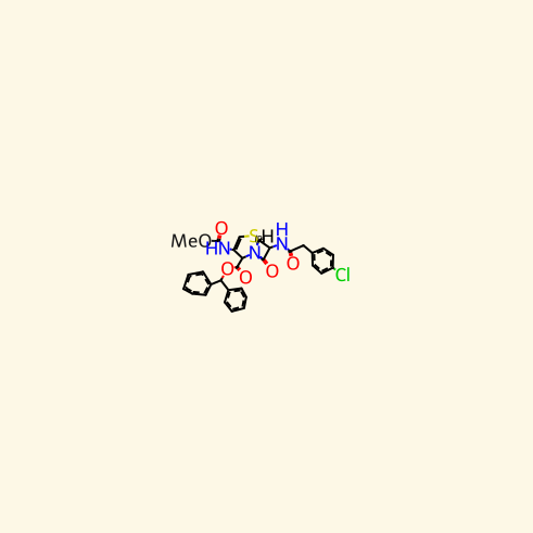 COC(=O)NC1=CS[C@@H]2C(NC(=O)Cc3ccc(Cl)cc3)C(=O)N2C1C(=O)OC(c1ccccc1)c1ccccc1